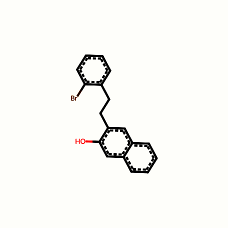 Oc1cc2ccccc2cc1CCc1ccccc1Br